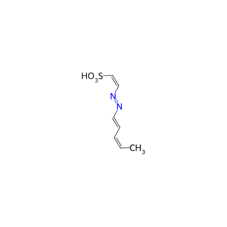 C\C=C/C=C/N=N/C=C\S(=O)(=O)O